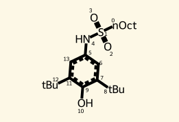 CCCCCCCCS(=O)(=O)Nc1cc(C(C)(C)C)c(O)c(C(C)(C)C)c1